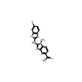 Cn1c(Nc2nc3ccc(F)cc3o2)nc2cc(C(=O)O)ccc21